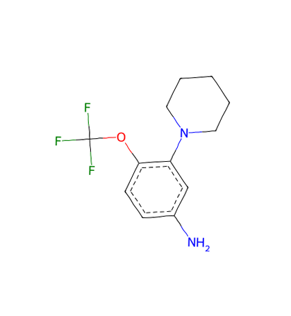 Nc1ccc(OC(F)(F)F)c(N2CCCCC2)c1